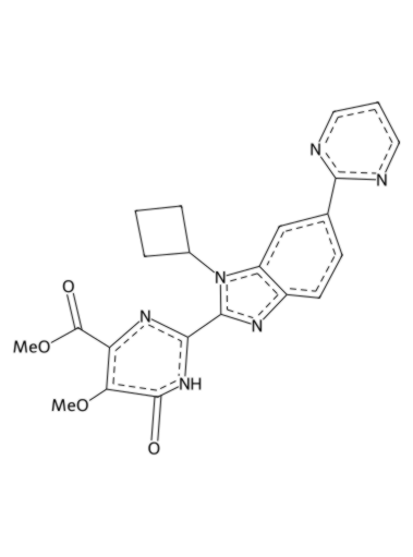 COC(=O)c1nc(-c2nc3ccc(-c4ncccn4)cc3n2C2CCC2)[nH]c(=O)c1OC